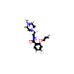 C=CCOc1cc(Cl)ccc1C(=O)NCCN1CCN(C)CC1